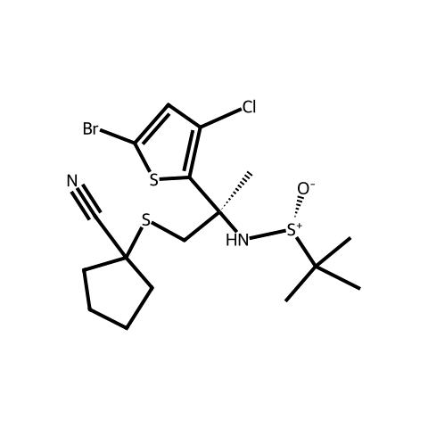 CC(C)(C)[S@@+]([O-])N[C@@](C)(CSC1(C#N)CCCC1)c1sc(Br)cc1Cl